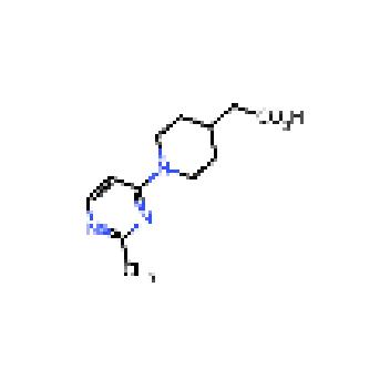 Cc1nccc(N2CCC(CC(=O)O)CC2)n1